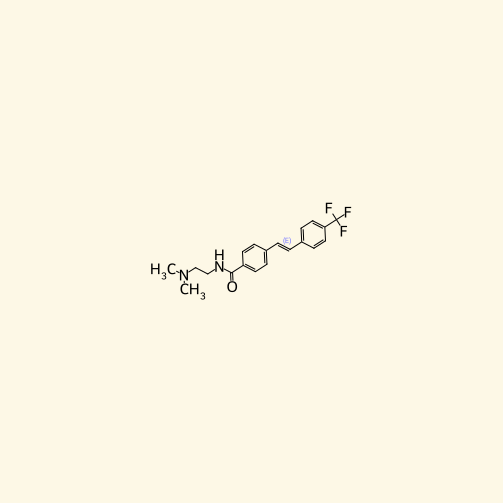 CN(C)CCNC(=O)c1ccc(/C=C/c2ccc(C(F)(F)F)cc2)cc1